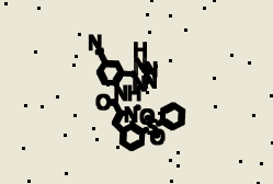 Cn1c(C(=O)Nc2ccc(C#N)cc2-c2nnn[nH]2)cc2cccc(S(=O)(=O)c3ccccc3)c21